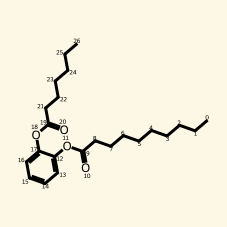 CCCCCCCCCC(=O)Oc1ccccc1OC(=O)CCCCCC